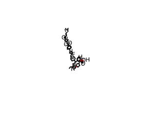 CCc1nccn1CC(c1cccc(F)c1)(C1CCN(CC2(F)CN(c3ccc(S(=O)(=O)C4CN(C(=O)/C=C/CN(C)C)C4)cc3)C2)CC1)[C@H]1CCC[C@@H]1NC(=O)O